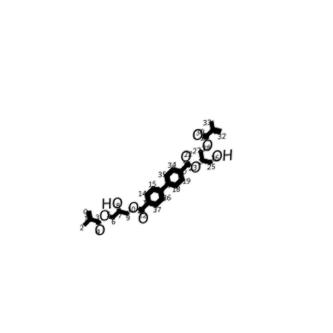 C=C(C)C(=O)OCC(O)COC(=O)c1ccc(-c2ccc(C(=O)OC(CO)COC(=O)C(=C)C)cc2)cc1